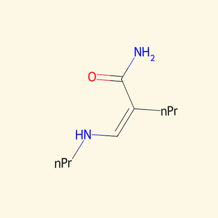 CCCNC=C(CCC)C(N)=O